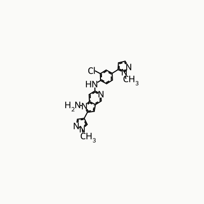 Cn1cc(-c2cc3cnc(Nc4ccc(-c5ccnn5C)cc4Cl)cc3n2N)cn1